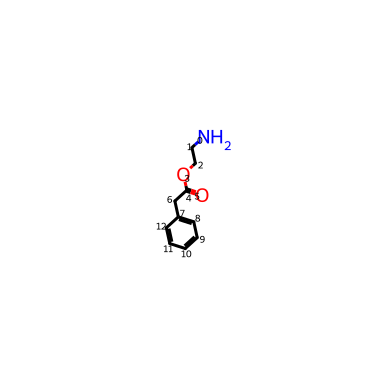 NCCOC(=O)Cc1ccccc1